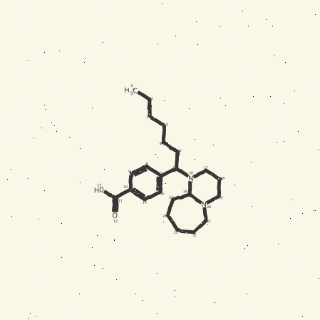 CCCCCCC(c1ccc(C(=O)O)cc1)N1CCCN2CCCCCC21